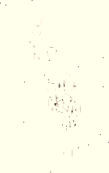 Cc1ccccc1[C@@H]1CN(Cc2ccc(F)c(F)c2)CCN1C1CC2(CCN(c3ccc(C(=O)NS(=O)(=O)c4ccc(NC[C@H]5CC[C@](C)(O)CC5)c([N+](=O)[O-])c4)c(N4c5cc6cc[nH]c6nc5O[C@H]5COC(C)(C)C[C@@H]54)c3)CC2)C1